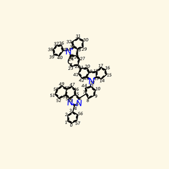 c1ccc(-c2nc(-c3cccc(-n4c5ccccc5c5cc(-c6ccc7c(c6)c6ccccc6n7-c6ccccc6)ccc54)c3)c3ccc4ccccc4c3n2)cc1